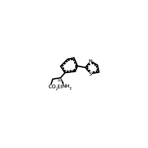 CCOC(=O)C[C@H](N)c1cccc(-c2nccs2)c1